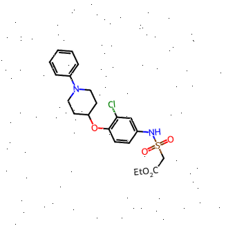 CCOC(=O)CS(=O)(=O)Nc1ccc(OC2CCN(c3ccccc3)CC2)c(Cl)c1